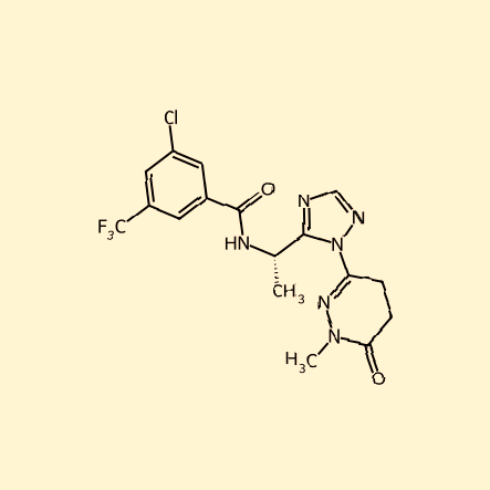 C[C@H](NC(=O)c1cc(Cl)cc(C(F)(F)F)c1)c1ncnn1C1=NN(C)C(=O)CC1